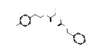 CC[C@H](C)[C@H](NC(=O)OCc1ccccc1)C(=O)OCCc1ccc(C(=O)O)cc1